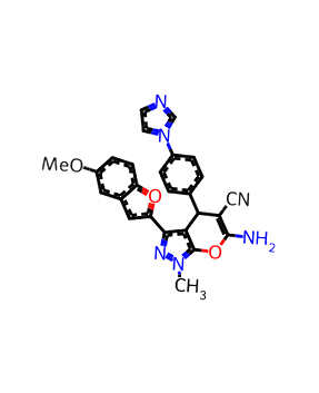 COc1ccc2oc(-c3nn(C)c4c3C(c3ccc(-n5ccnc5)cc3)C(C#N)=C(N)O4)cc2c1